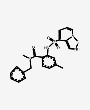 Cc1ccc(C(=O)N(C)Cc2ccccc2)c(NS(=O)(=O)C2=CC=CN3SNC=C23)c1